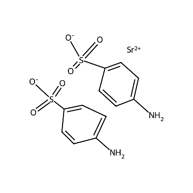 Nc1ccc(S(=O)(=O)[O-])cc1.Nc1ccc(S(=O)(=O)[O-])cc1.[Sr+2]